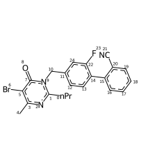 CCCc1nc(C)c(Br)c(=O)n1Cc1ccc(-c2ccccc2C#N)c(F)c1